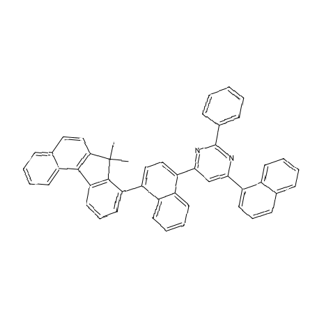 CC1(C)c2ccc3ccccc3c2-c2cccc(-c3ccc(-c4cc(-c5cccc6ccccc56)nc(-c5ccccc5)n4)c4ccccc34)c21